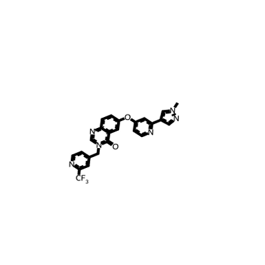 Cn1cc(-c2cc(Oc3ccc4ncn(Cc5ccnc(C(F)(F)F)c5)c(=O)c4c3)ccn2)cn1